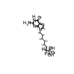 Nc1nc2c(ncn2CCCCCCC(F)(F)P(=O)(O)O)c(=O)[nH]1